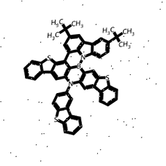 CC(C)(C)c1ccc2c(c1)c1cc(C(C)(C)C)cc3c1n2B1c2cc4sc5ccccc5c4cc2N(c2ccc4sc5ccccc5c4c2)c2cc4c(sc5ccccc54)c-3c21